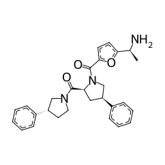 C[C@H](N)c1ccc(C(=O)N2C[C@@H](c3ccccc3)C[C@H]2C(=O)N2CC[C@H](c3ccccc3)C2)o1